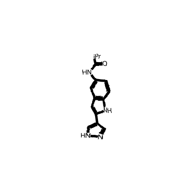 CC(C)C(=O)Nc1ccc2[nH]c(-c3cn[nH]c3)cc2c1